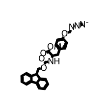 COC(=O)C(Cc1ccc(OCN=[N+]=[N-])cc1)NC(=O)OCC1c2ccccc2-c2ccccc21